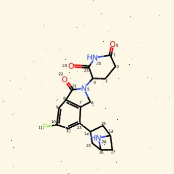 O=C1CCC(N2Cc3c(cc(F)cc3C3CC4CC(C3)N4)C2=O)C(=O)N1